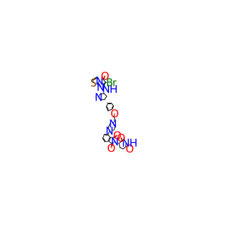 CN1C[C@H](Nc2nc3sccn3c(=O)c2Br)C[C@H](c2ccc(OCCN3CCN(c4cccc5c4C(=O)N(C4CCC(=O)NC4=O)C5=O)CC3)cc2)C1